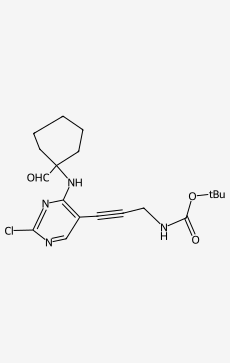 CC(C)(C)OC(=O)NCC#Cc1cnc(Cl)nc1NC1(C=O)CCCCC1